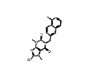 Cc1cccc2cc(Cn3c(=O)c4c(nc(Br)n4C)n(C)c3=O)ccc12